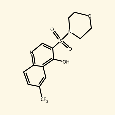 O=S(=O)(c1cnc2ccc(C(F)(F)F)cc2c1O)N1CCOCC1